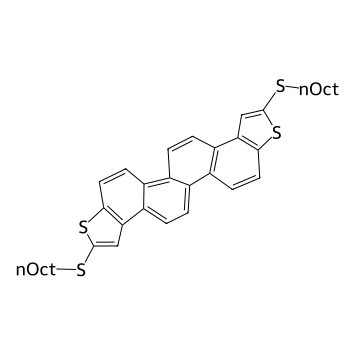 CCCCCCCCSc1cc2c(ccc3c2ccc2c4ccc5sc(SCCCCCCCC)cc5c4ccc32)s1